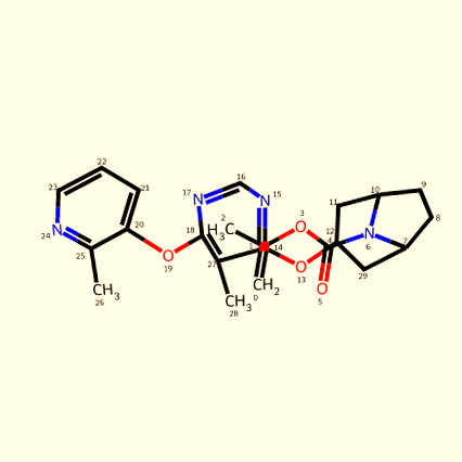 C=C(C)OC(=O)N1C2CCC1CC(Oc1ncnc(Oc3cccnc3C)c1C)C2